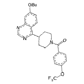 CC(C)COc1ccc2c(C3CCN(C(=O)c4ccc(OC(F)(F)F)cc4)CC3)ncnc2c1